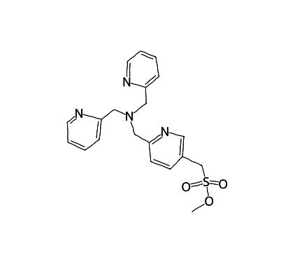 COS(=O)(=O)Cc1ccc(CN(Cc2ccccn2)Cc2ccccn2)nc1